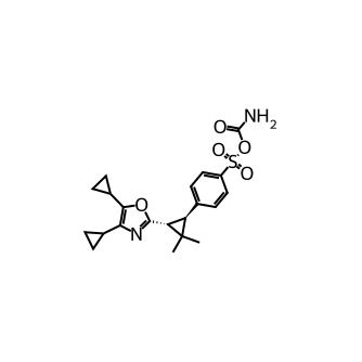 CC1(C)[C@H](c2ccc(S(=O)(=O)OC(N)=O)cc2)[C@H]1c1nc(C2CC2)c(C2CC2)o1